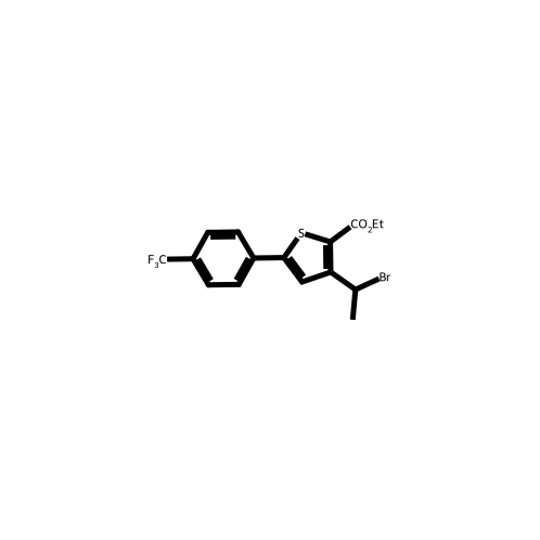 CCOC(=O)c1sc(-c2ccc(C(F)(F)F)cc2)cc1C(C)Br